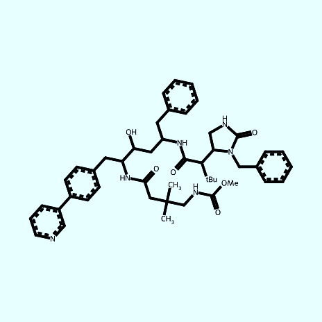 COC(=O)NCC(C)(C)CC(=O)NC(Cc1ccc(-c2cccnc2)cc1)C(O)CC(Cc1ccccc1)NC(=O)C(C1CNC(=O)N1Cc1ccccc1)C(C)(C)C